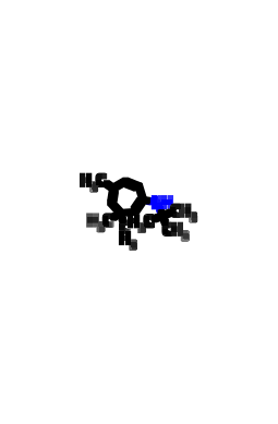 CC1=CC(C)(C)C=C(NC(C)(C)C)C=C1